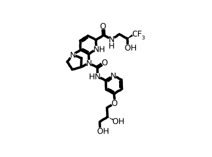 O=C(NC[C@H](O)C(F)(F)F)C1C=CC2=C(N1)N(C(=O)Nc1cc(OC[C@H](O)CO)ccn1)C1CCN2C1